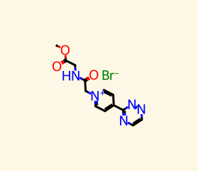 COC(=O)CNC(=O)C[n+]1ccc(-c2nccnn2)cc1.[Br-]